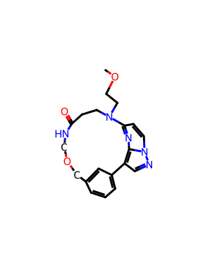 COCCN1CCC(=O)NCOCc2cccc(c2)-c2cnn3ccc1nc23